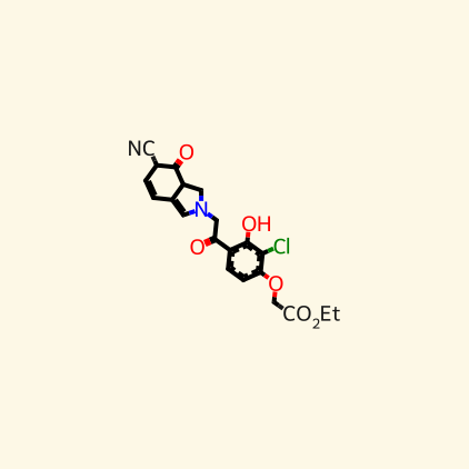 CCOC(=O)COc1ccc(C(=O)CN2C=C3C=CC(C#N)C(=O)C3C2)c(O)c1Cl